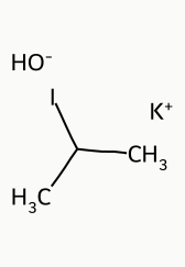 CC(C)I.[K+].[OH-]